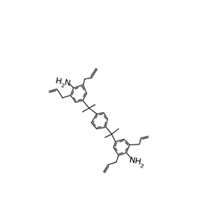 C=CCc1cc(C(C)(C)c2ccc(C(C)(C)c3cc(CC=C)c(N)c(CC=C)c3)cc2)cc(CC=C)c1N